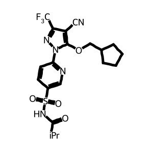 CC(C)C(=O)NS(=O)(=O)c1ccc(-n2nc(C(F)(F)F)c(C#N)c2OCC2CCCC2)nc1